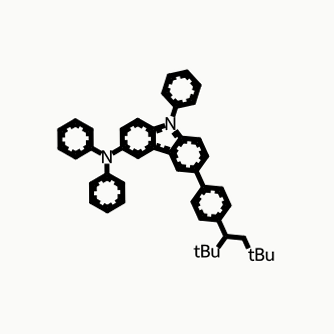 CC(C)(C)CC(c1ccc(-c2ccc3c(c2)c2cc(N(c4ccccc4)c4ccccc4)ccc2n3-c2ccccc2)cc1)C(C)(C)C